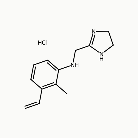 C=Cc1cccc(NCC2=NCCN2)c1C.Cl